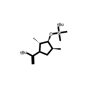 C=C(C1C[C@H](C)[C@H](O[Si](C)(C)C(C)(C)C)[C@H]1C)C(C)(C)C